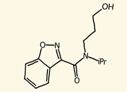 CC(C)N(CCCO)C(=O)c1noc2ccccc12